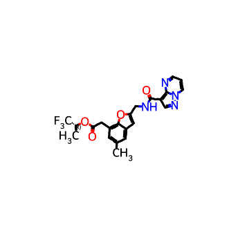 Cc1cc(CC(=O)O[C@H](C)C(F)(F)F)c2oc(CNC(=O)c3cnn4cccnc34)cc2c1